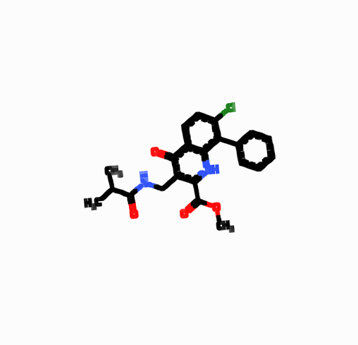 COC(=O)c1[nH]c2c(-c3ccccc3)c(Cl)ccc2c(=O)c1CNC(=O)C(C)C